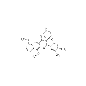 COc1cc(C(=O)N2C(=O)c3cc(C)c(C)cc3OC23CCNCC3)cc2c(OC)cccc12